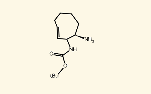 CC(C)(C)OC(=O)NC1/C=C/CCCC[C@H]1N